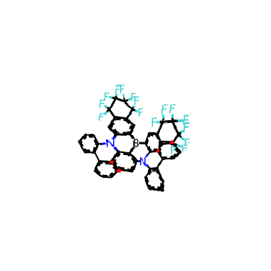 FC1(F)c2cc3c(cc2C(F)(F)C(F)(F)C1(F)F)N(c1ccccc1-c1ccccc1)c1cccc2c1B3c1cc3c(cc1N2c1ccccc1-c1ccccc1)C(F)(F)C(F)(F)C(F)(F)C3(F)F